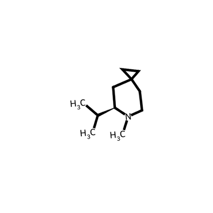 CC(C)[C@H]1CC2(CCN1C)CC2